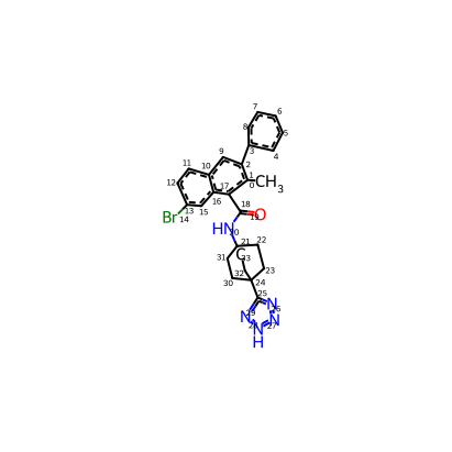 Cc1c(-c2ccccc2)cc2ccc(Br)cc2c1C(=O)NC12CCC(c3nn[nH]n3)(CC1)CC2